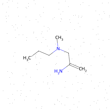 C=C(N)CN(C)CCC